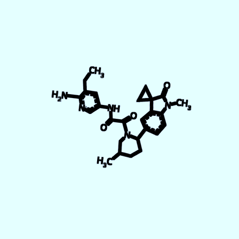 CCc1cc(NC(=O)C(=O)N2CC(C)CCC2c2ccc3c(c2)C2(CC2)C(=O)N3C)cnc1N